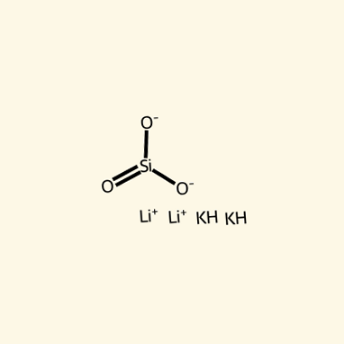 O=[Si]([O-])[O-].[KH].[KH].[Li+].[Li+]